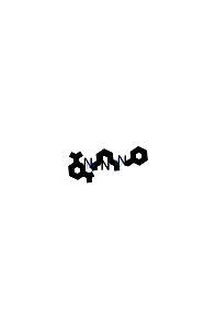 C/C(=N\CC1CCCCC1)c1cccc(/C(C)=N/C2C(C(C)C)CCCC2C(C)C)n1